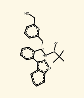 CC(C)(C)[S+]([O-])N[C@@H](Cc1cccc(CO)n1)c1ccccc1-c1noc2ccccc12